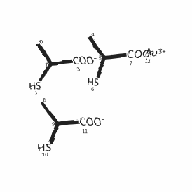 CC(S)C(=O)[O-].CC(S)C(=O)[O-].CC(S)C(=O)[O-].[Au+3]